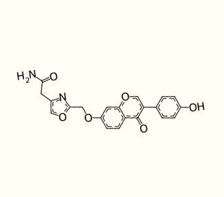 NC(=O)Cc1coc(COc2ccc3c(=O)c(-c4ccc(O)cc4)coc3c2)n1